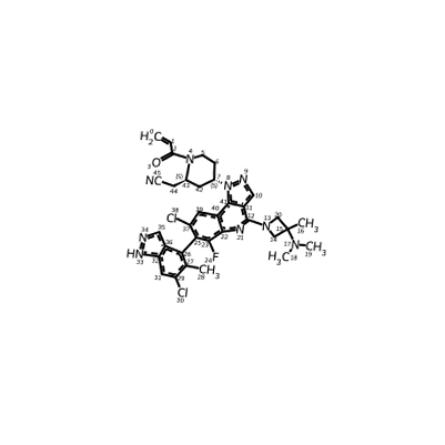 C=CC(=O)N1CC[C@H](n2ncc3c(N4CC(C)(N(C)C)C4)nc4c(F)c(-c5c(C)c(Cl)cc6[nH]ncc56)c(Cl)cc4c32)C[C@H]1CC#N